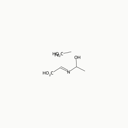 CC(=O)O.CC(O)N=CC(=O)O.[Fe]